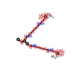 C[C@@H]1O[C@@H](OCCOCCNC(=O)CCOCCOCCOCCOCCNC(=O)COc2ccc(-c3cc(OCC(=O)NCCOCCOCCOCCOCCC(=O)NCCOCCO[C@@H]4O[C@@H](C)[C@H](O)[C@@H](O)[C@H]4O)cc(C(=O)OCc4ccccc4)c3)cc2)[C@H](O)[C@H](O)[C@H]1O